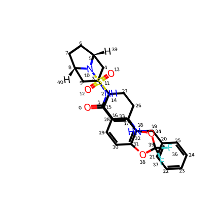 O=C(N[C@@H]1C[C@H]2CC[C@@H](C1)N2S(=O)(=O)C1CCC(NCc2ccccc2)CC1)c1ccc2c(c1)OC(F)(F)O2